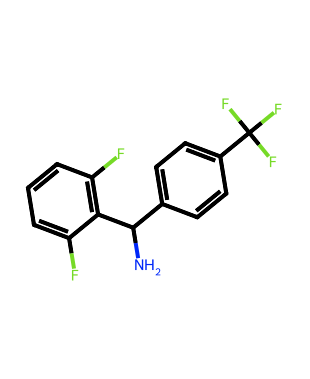 NC(c1ccc(C(F)(F)F)cc1)c1c(F)cccc1F